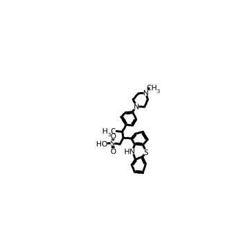 CC(c1ccc(N2CCN(C)CC2)cc1)C(CS(=O)(=O)O)c1cccc2c1Nc1ccccc1S2